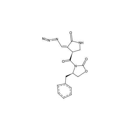 [N-]=[N+]=N/C=C1\C(=O)NC[C@H]1C(=O)N1C(=O)OC[C@H]1Cc1ccccc1